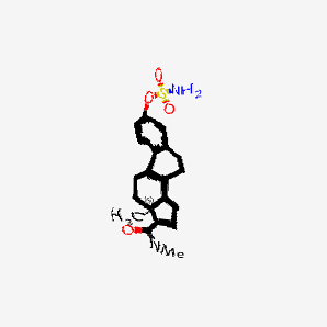 CNC(=O)C1=CCC2C3CCc4cc(OS(N)(=O)=O)ccc4C3CC[C@]12C